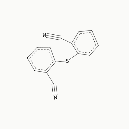 N#Cc1ccccc1Sc1ccccc1C#N